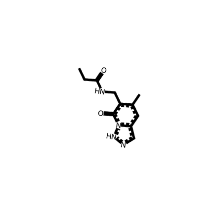 CCC(=O)NCc1c(C)cc2cn[nH]n2c1=O